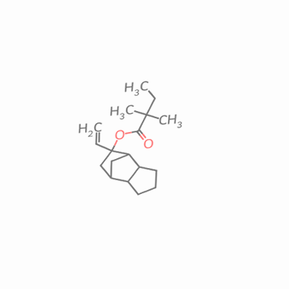 C=CC1(OC(=O)C(C)(C)CC)CC2CC1C1CCCC21